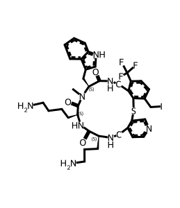 CN1C(=O)[C@H](CCCCN)NC(=O)[C@H](CCCN)NCc2ccncc2Sc2c(CI)ccc(C(F)(F)F)c2CNC(=O)[C@@H]1Cc1c[nH]c2ccccc12